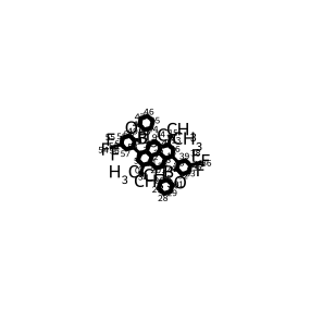 CC(C)(C)c1cc2c3c(cc4c(C(C)(C)C)cc5c6c(cc1c3c46)B1c3ccccc3Oc3cc(C(F)(F)F)cc-5c31)B1c3ccccc3Oc3cc(C(F)(F)F)cc-2c31